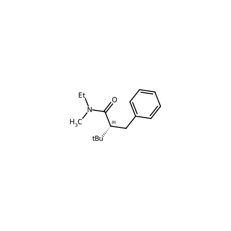 CCN(C)C(=O)[C@H](Cc1ccccc1)C(C)(C)C